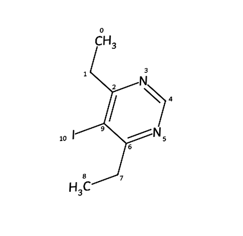 CCc1ncnc(CC)c1I